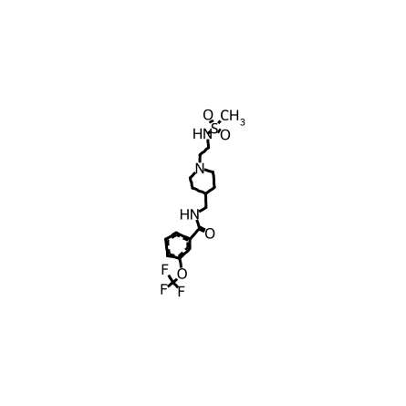 CS(=O)(=O)NCCN1CCC(CNC(=O)c2cccc(OC(F)(F)F)c2)CC1